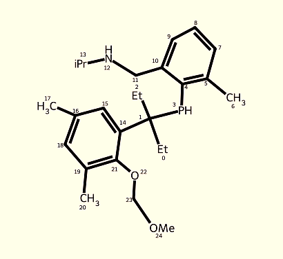 CCC(CC)(Pc1c(C)cccc1CNC(C)C)c1cc(C)cc(C)c1OCOC